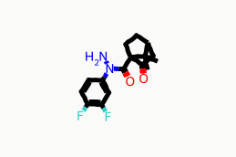 CC1(C)C2CCC1(C(=O)N(N)c1ccc(F)c(F)c1)C(=O)C2